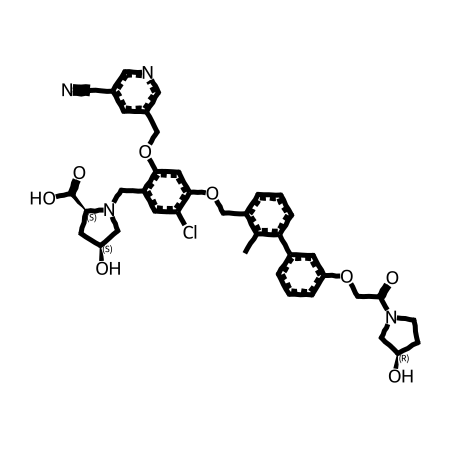 Cc1c(COc2cc(OCc3cncc(C#N)c3)c(CN3C[C@@H](O)C[C@H]3C(=O)O)cc2Cl)cccc1-c1cccc(OCC(=O)N2CC[C@@H](O)C2)c1